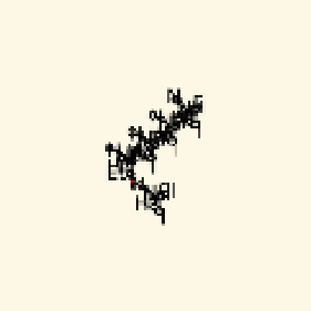 CCc1cc(I)ccc1Nc1ccc(Br)cc1C(=O)NCCN1CCCC1.Cc1cc(I)ccc1Nc1ccc(Br)cc1C(=O)NCCN1CCCCC1.Cc1cc(I)ccc1Nc1ccc(Cl)cc1C(=O)NCCCN(C)C.Cc1cc(I)ccc1Nc1ccc(F)cc1C(=O)NCCN1CCCC1.Cc1cc(I)ccc1Nc1ccc(F)cc1C(=O)NCc1ccncc1